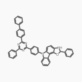 c1ccc(-c2ccc(-c3nc(-c4ccccc4)nc(-c4ccc(-n5c6ccccc6c6c7c(ccc65)NC(c5ccccc5)O7)cc4)n3)cc2)cc1